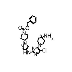 CC1(N)CCN(c2nc(Nc3cnn(C4CCN(C(=O)OCc5ccccc5)CC4)c3)ncc2Cl)CC1